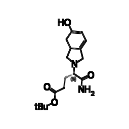 CC(C)(C)OC(=O)CC[C@@H](C(N)=O)N1CC2=CC=C(O)CC2C1